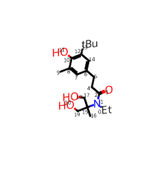 CCN(C(=O)CCc1cc(C)c(O)c(C(C)(C)C)c1)C(C)(CO)CO